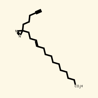 C#CCCCC1(CC/C=C/CCCCCCCCCC(=O)O)N=N1